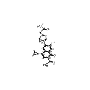 CC(=O)CN1CC2CC1CN2c1cc2c(cc1F)c(=O)c(C(=O)O)cn2C1CC1